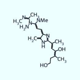 C=c1[nH]c(/C(C)=C/C(O)=C(/C)CCO)n/c1=C/C=C(\NC)N(N)/C(C)=N\C